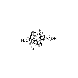 Cc1nc(N2CC(O)C2)cc(-n2ncc3cc(C)c([C@]45CCN(C)C[C@@H]4[C@H](C)C5)cc32)n1